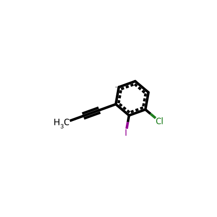 CC#Cc1[c]ccc(Cl)c1I